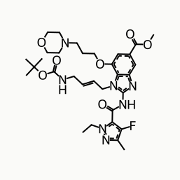 CCn1nc(C)c(F)c1C(=O)Nc1nc2cc(C(=O)OC)cc(OCCCN3CCOCC3)c2n1C/C=C/CNC(=O)OC(C)(C)C